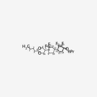 C=CCCC1OCC(C2CCC(c3ccc(OCCC)c(F)c3F)CC2(F)F)CO1